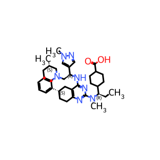 CC[C@H](C1CCC(C(=O)O)CC1)N(C)c1nc2c(c(N[C@@H](CN3CCC[C@H](C)C3)c3cnn(C)c3)n1)C[C@@H](c1ccccc1)CC2